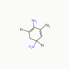 CCC1=C(N)C(C)=CC(N)(CC)C1